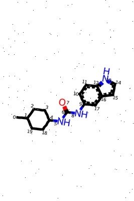 CC1CCC(NC(=O)Nc2ccc3[nH]ccc3c2)CC1